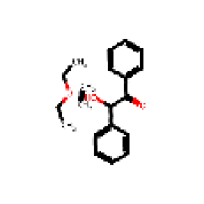 C=C.CCOCC.O=C(c1ccccc1)C(O)c1ccccc1